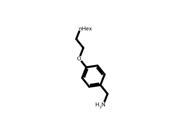 CCCCCCCCOc1ccc(CN)cc1